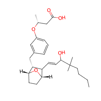 CCCCC(C)(C)C(O)/C=C/C1[C@@H]2CC[C@@H](O2)[C@@H]1Cc1cccc(O[C@H](C)CC(=O)O)c1